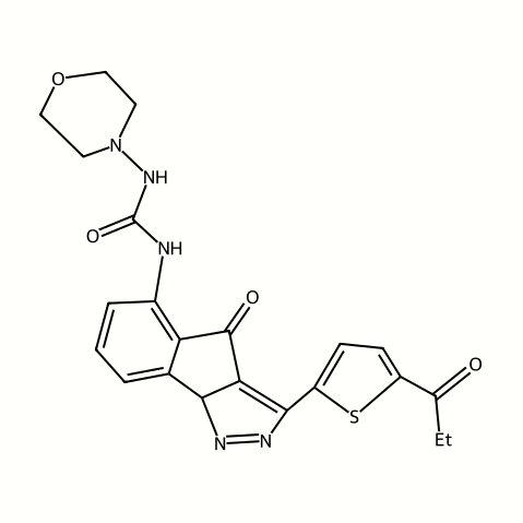 CCC(=O)c1ccc(C2=C3C(=O)c4c(NC(=O)NN5CCOCC5)cccc4C3N=N2)s1